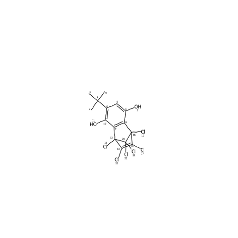 CC(C)(C)c1cc(O)c2c(c1O)C1(Cl)C(Cl)=C(Cl)C2(Cl)C1(Cl)Cl